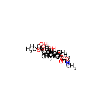 CCO[C@@H]([C@H]1C[C@@H](C)[C@H]2[C@H](O1)[C@H](O)[C@@]1(C)[C@@H]3CC[C@H]4C(C)(C)[C@@H](OC(=O)[C@@H]5CN(C)CCO5)CC[C@@]45C[C@@]35CC[C@]21C)C(C)(C)O